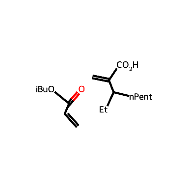 C=C(C(=O)O)C(CC)CCCCC.C=CC(=O)OCC(C)C